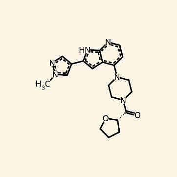 Cn1cc(-c2cc3c(N4CCN(C(=O)[C@@H]5CCCO5)CC4)ccnc3[nH]2)cn1